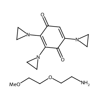 COCCOCCN.O=C1C=C(N2CC2)C(=O)C(N2CC2)=C1N1CC1